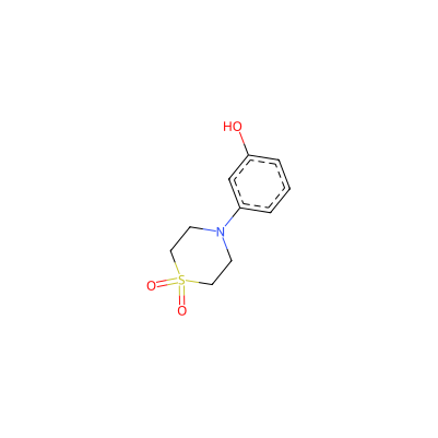 O=S1(=O)CCN(c2cccc(O)c2)CC1